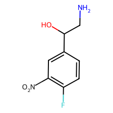 NCC(O)c1ccc(F)c([N+](=O)[O-])c1